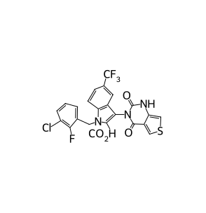 O=C(O)c1c(-n2c(=O)[nH]c3cscc3c2=O)c2cc(C(F)(F)F)ccc2n1Cc1cccc(Cl)c1F